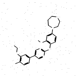 CCOc1cc(-c2cnc(Nc3ccc(N4CCCNCC4)cc3OC)nc2)ccc1Cl